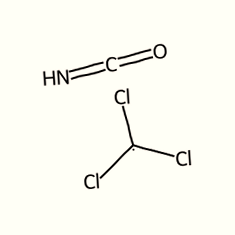 Cl[C](Cl)Cl.N=C=O